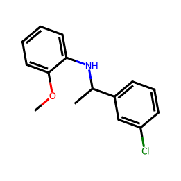 COc1ccccc1NC(C)c1cccc(Cl)c1